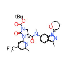 Cc1cc(C(F)(F)F)cc(N2C(=O)N(C(=O)OC(C)(C)C)C[C@H]2C(=O)N(C)c2ccc3c(C)nn([C@@H]4CCCCO4)c3c2)n1